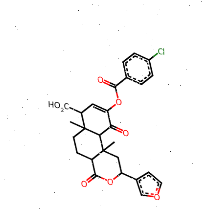 CC12CCC3C(=O)OC(c4ccoc4)CC3(C)C1C(=O)C(OC(=O)c1ccc(Cl)cc1)=CC2C(=O)O